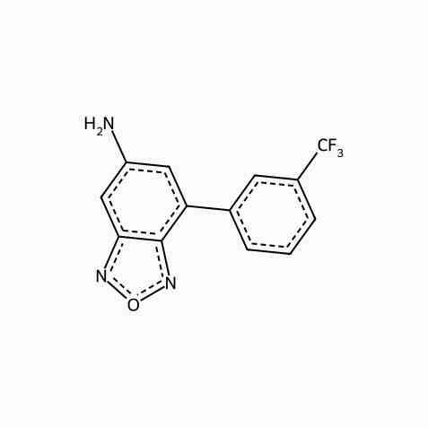 Nc1cc(-c2cccc(C(F)(F)F)c2)c2nonc2c1